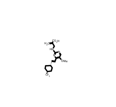 C=C(CNc1ncc(OC)c(/C=C/[C@H]2CC[C@H](C(F)(F)F)CC2)n1)C(=O)O